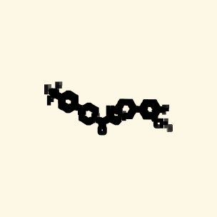 Cc1cc(C2CCc3nc(C(=O)N4CCN(c5ccc(C(F)(F)F)cc5)CC4)cn3C2)ccc1F